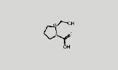 OC[C@@H]1CCCN1C(O)=S